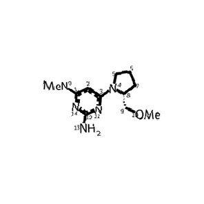 CNc1cc(N2CCC[C@@H]2COC)nc(N)n1